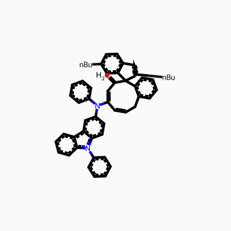 C=C1/C=C(N(c2ccccc2)c2ccc3c(c2)c2ccccc2n3-c2ccccc2)\C=C/Cc2ccccc2C12c1cc(CCCC)ccc1-c1ccc(CCCC)cc12